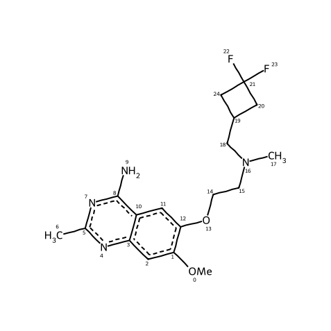 COc1cc2nc(C)nc(N)c2cc1OCCN(C)CC1CC(F)(F)C1